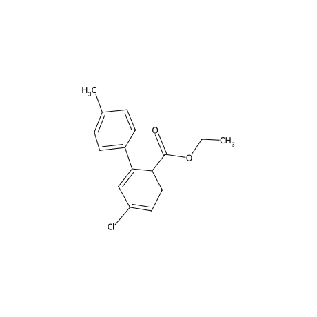 CCOC(=O)C1CC=C(Cl)C=C1c1ccc(C)cc1